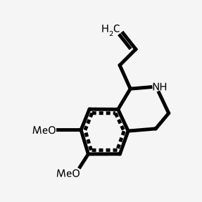 C=CCC1NCCc2cc(OC)c(OC)cc21